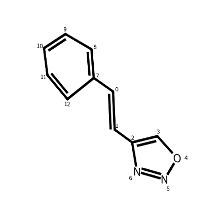 C(=C\c1conn1)/c1ccccc1